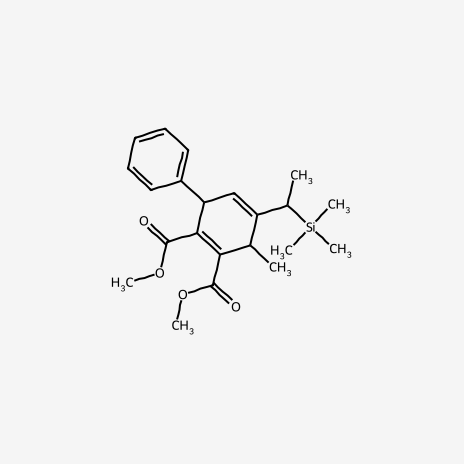 COC(=O)C1=C(C(=O)OC)C(c2ccccc2)C=C(C(C)[Si](C)(C)C)C1C